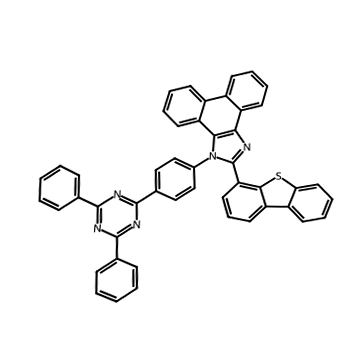 c1ccc(-c2nc(-c3ccccc3)nc(-c3ccc(-n4c(-c5cccc6c5sc5ccccc56)nc5c6ccccc6c6ccccc6c54)cc3)n2)cc1